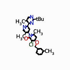 Cc1cccc(COc2cc(C)n(-c3cc(-c4nc(C(C)(C)C)ncc4C)ncc3C)c(=O)c2Cl)c1